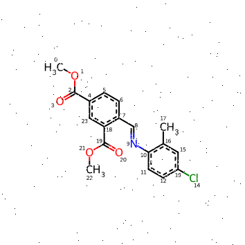 COC(=O)c1ccc(/C=N/c2ccc(Cl)cc2C)c(C(=O)OC)c1